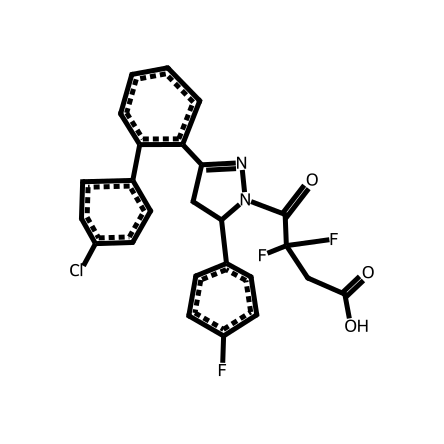 O=C(O)CC(F)(F)C(=O)N1N=C(c2ccccc2-c2ccc(Cl)cc2)CC1c1ccc(F)cc1